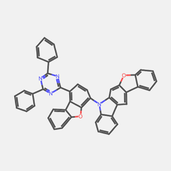 c1ccc(-c2nc(-c3ccccc3)nc(-c3ccc(-n4c5ccccc5c5cc6c(cc54)oc4ccccc46)c4oc5ccccc5c34)n2)cc1